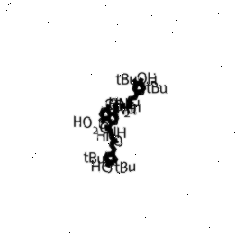 CC(C)(C)c1cc(CCC(=O)NNC(=O)c2ccc(C(=O)NNC(=O)CCc3cc(C(C)(C)C)c(O)c(C(C)(C)C)c3)c3c(C(=O)O)ccc(C(=O)O)c23)cc(C(C)(C)C)c1O